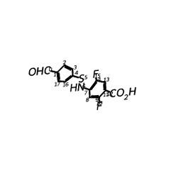 O=Cc1ccc(SNc2cc(F)c(C(=O)O)cc2F)cc1